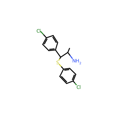 CC(N)C(Sc1ccc(Cl)cc1)c1ccc(Cl)cc1